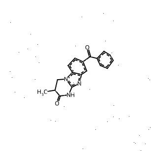 CC1Cn2c(nc3cc(C(=O)c4ccccc4)ccc32)NC1=O